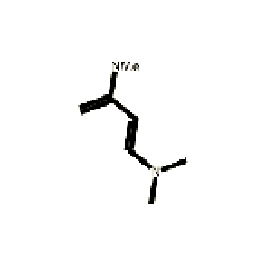 C=C(C=CN(C)C)NC